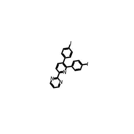 Ic1ccc(-c2ccc(-c3ncccn3)nc2-c2ccc(I)cc2)cc1